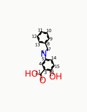 O=C(O)c1cc(N=Cc2ccccc2)ccc1O